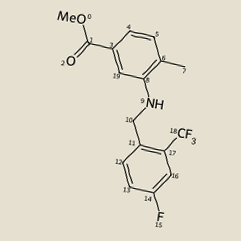 COC(=O)c1ccc(C)c(NCc2ccc(F)cc2C(F)(F)F)c1